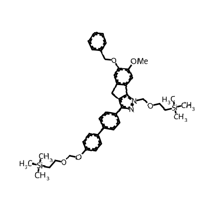 COc1cc2c(cc1OCc1ccccc1)Cc1c(-c3ccc(-c4ccc(OCOCC[Si](C)(C)C)cc4)cc3)nn(COCC[Si](C)(C)C)c1-2